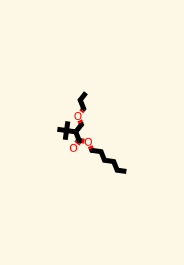 CCCCCCOC(=O)C(COCCC)C(C)(C)C